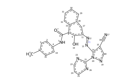 Cc1ccc(NC(=O)c2c(O)c(/N=N/c3c(C#N)cnn3-c3ncccn3)cc3ccccc23)cc1